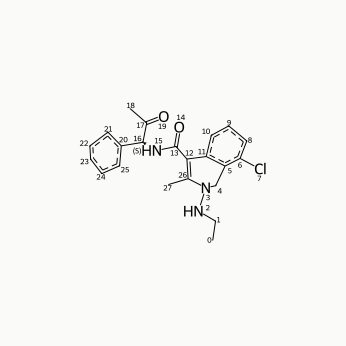 CCNN1Cc2c(Cl)cccc2C(C(=O)N[C@H](C(C)=O)c2ccccc2)=C1C